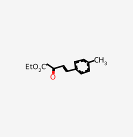 CCOC(=O)CC(=O)C=Cc1ccc(C)cc1